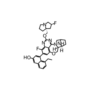 CCc1cccc2cc(O)cc(-c3cc4c5c(nc(OC[C@]67CCCN6C[C@@H](F)C7)nc5c3F)N3CC5CC[C@H](N5)[C@@H]3CO4)c12